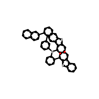 c1cc(-c2ccccc2-c2ccc3ccccc3c2)cc(N(c2ccccc2-c2cccc3c2sc2ccccc23)c2cccc3sc4ccccc4c23)c1